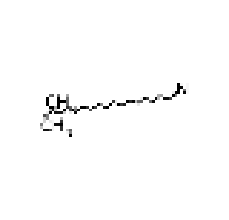 CCC(C)CCCCCCCCCCCCCCCC#N